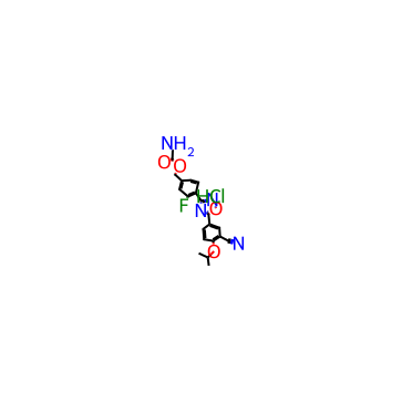 CC(C)Oc1ccc(-c2nc(-c3ccc(COC(=O)CN)cc3F)no2)cc1C#N.Cl